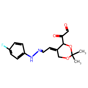 CC1(C)OC/C(=C\C=NNc2ccc(F)cc2)C(C(=O)C=O)O1